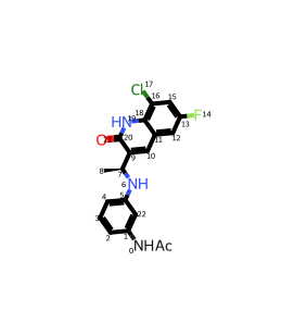 CC(=O)Nc1cccc(N[C@@H](C)c2cc3cc(F)cc(Cl)c3[nH]c2=O)c1